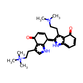 CN(C)CCc1c2c([nH]c1=C1C=CC(=O)c3c(CC[N+](C)(C)C)c[nH]c31)=CC=CC2=O